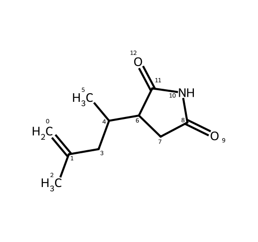 C=C(C)CC(C)C1CC(=O)NC1=O